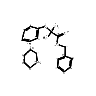 CC(C)(Oc1cccc([C@H]2CCCNC2)c1)C(=O)OCc1ccccc1